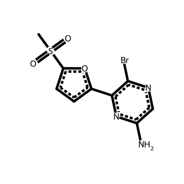 CS(=O)(=O)c1ccc(-c2nc(N)cnc2Br)o1